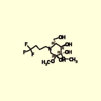 CO[C@]1(O)CN(CCCC(F)(F)F)[C@H](CO)[C@@H](O)[C@@]1(O)OC